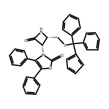 O=C1N[C@H](CSC(c2ccccc2)(c2ccccc2)c2ccccc2)[C@@H]1n1c(-c2ccccc2)c(-c2ccccc2)oc1=O